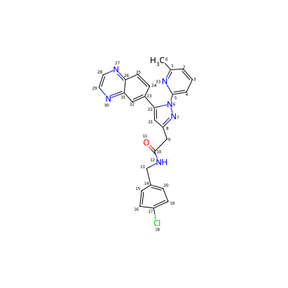 Cc1cccc(-n2nc(CC(=O)NCc3ccc(Cl)cc3)cc2-c2ccc3nccnc3c2)n1